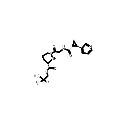 CCC(C)(C)COC(=O)[C@@H]1CCCN(C(=O)CNC(=O)[C@@H]2C[C@H]2c2cccnc2)N1